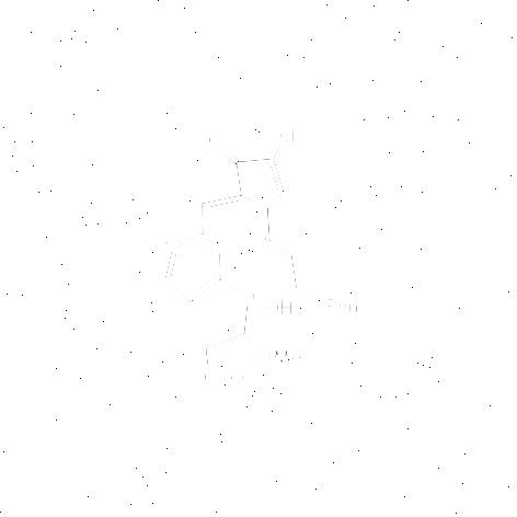 CCCCCC(O)C=CC1C=C(Cl)C(=O)C1=Cc1cccc(OC(CC=O)OC)c1